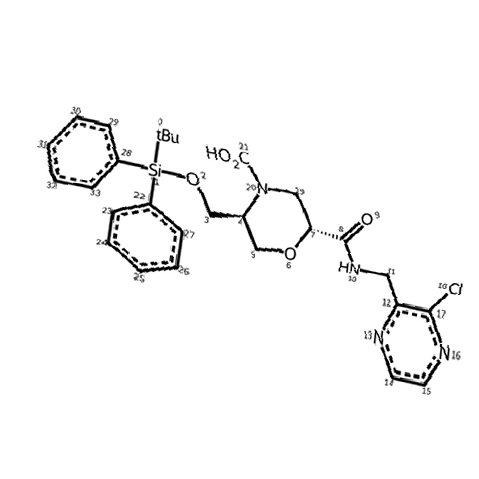 CC(C)(C)[Si](OC[C@@H]1CO[C@@H](C(=O)NCc2nccnc2Cl)CN1C(=O)O)(c1ccccc1)c1ccccc1